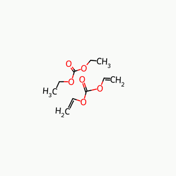 C=COC(=O)OC=C.CCOC(=O)OCC